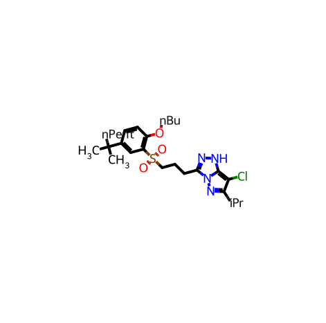 CCCCCC(C)(C)c1ccc(OCCCC)c(S(=O)(=O)CCCc2n[nH]c3c(Cl)c(C(C)C)nn23)c1